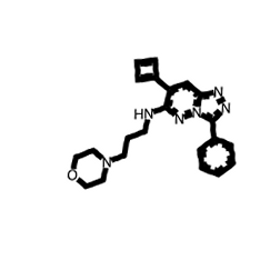 C1=CC(c2cc3nnc(-c4ccccc4)n3nc2NCCCN2CCOCC2)=C1